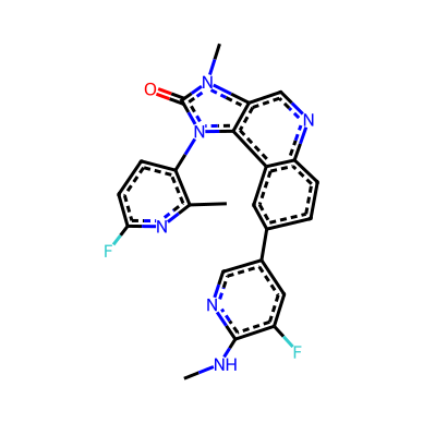 CNc1ncc(-c2ccc3ncc4c(c3c2)n(-c2ccc(F)nc2C)c(=O)n4C)cc1F